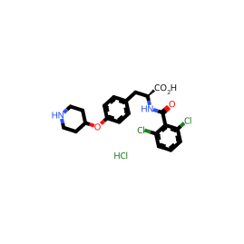 Cl.O=C(N[C@@H](Cc1ccc(OC2CCNCC2)cc1)C(=O)O)c1c(Cl)cccc1Cl